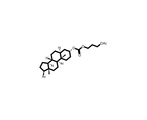 CC(=O)OCCCOC(=O)O[C@@H]1CC[C@@]2(C)[C@@H](CC[C@@H]3[C@@H]2CC[C@]2(C)[C@@H](C(C)=O)CC[C@@H]32)C1